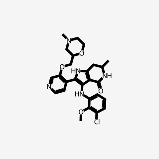 COc1c(Cl)cccc1Nc1c(-c2ccncc2OCC2CN(C)CCO2)[nH]c2c1C(=O)NC(C)C2